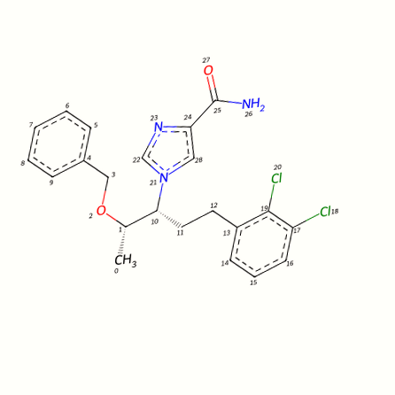 C[C@H](OCc1ccccc1)[C@@H](CCc1cccc(Cl)c1Cl)n1cnc(C(N)=O)c1